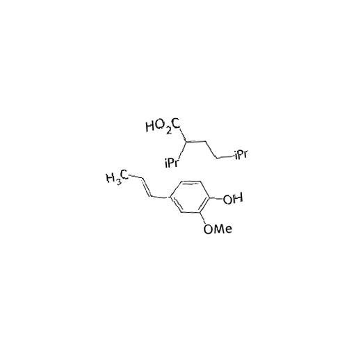 CC(C)CCC(C(=O)O)C(C)C.CC=Cc1ccc(O)c(OC)c1